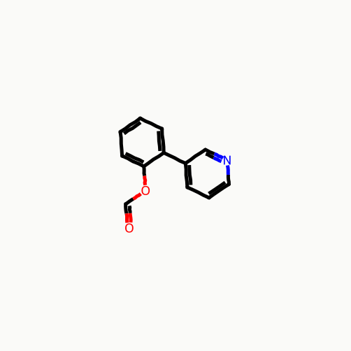 O=COc1ccccc1-c1cccnc1